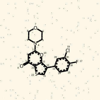 O=c1cc(N2CCOCC2)oc2c(-c3ccc(F)c(Cl)c3)csc12